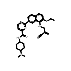 C=C(C#N)CNc1c(OCC)ccc2ccc(-c3nccc(C(=O)NC4CCC(N(C)C)CC4)n3)cc12